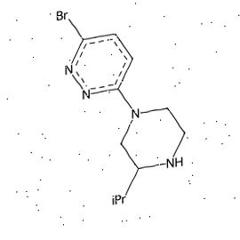 CC(C)C1CN(c2ccc(Br)nn2)CCN1